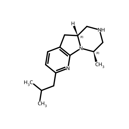 CC(C)Cc1ccc2c(n1)N1[C@@H](CNC[C@H]1C)C2